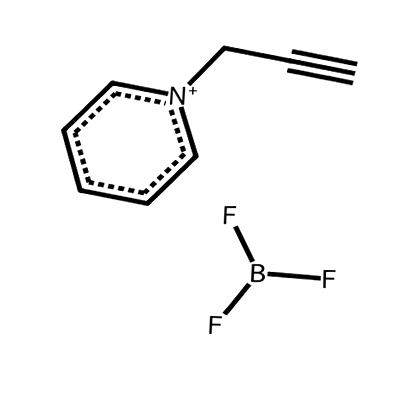 C#CC[n+]1ccccc1.FB(F)F